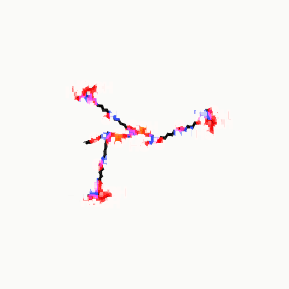 CC=COCCN(CCOP(=O)(O)OCCN(COP(=O)(O)OCCN(CCO)C(=O)CCCCCNC(=O)CCCCCOC1OC(CO)C(O)C(O)C1NC(C)=O)C(=O)CCCCCNC(=O)CCCCCOC1OC(CO)C(O)C(O)C1NC(C)=O)C(=O)CCCCCNC(=O)CCCCCOC1OC(CO)C(O)C(O)C1NC(C)=O